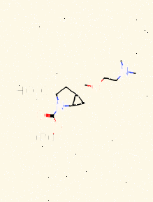 CN(C)CCOC[C@]12CC1N(C(=O)OC(C)(C)C)[C@H](C(=O)O)C2